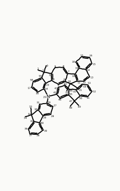 CC1(C)C2=C(C=C3C(=CC2)c2c(ccc4ccccc24)C3(C)C)c2c(N(c3ccc4c(c3)C(C)(C)c3ccccc3-4)c3ccc4c(c3)C(C)(C)c3ccccc3-4)cccc21